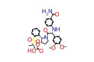 COc1ccc([C@@H](Nc2cccc(C(N)=O)c2)C(=O)N2CC[C@H](OC(=O)O)[C@H]2c2ccccc2S(=O)(=O)C(C)C)cc1OC